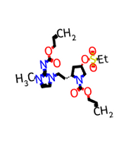 C=CCOC(=O)N=c1n(C)ccn1CC[C@@H]1C[C@@H](OS(=O)(=O)CC)CN1C(=O)OCC=C